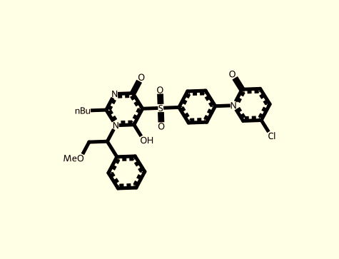 CCCCc1nc(=O)c(S(=O)(=O)c2ccc(-n3cc(Cl)ccc3=O)cc2)c(O)n1C(COC)c1ccccc1